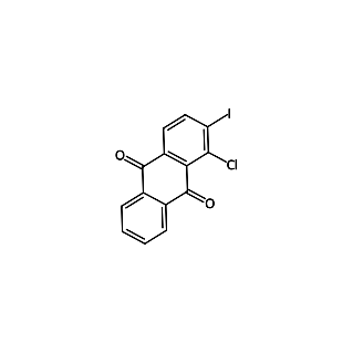 O=C1c2ccccc2C(=O)c2c1ccc(I)c2Cl